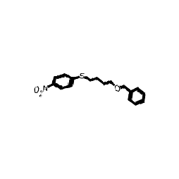 O=[N+]([O-])c1ccc(SCCCCOCc2ccccc2)cc1